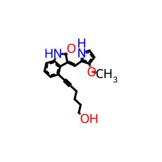 COc1cc[nH]c1/C=C1\C(=O)Nc2cccc(C#CCCCCO)c21